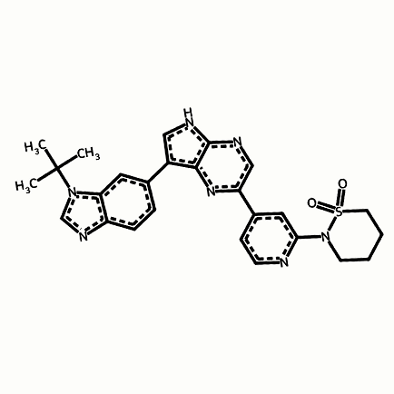 CC(C)(C)n1cnc2ccc(-c3c[nH]c4ncc(-c5ccnc(N6CCCCS6(=O)=O)c5)nc34)cc21